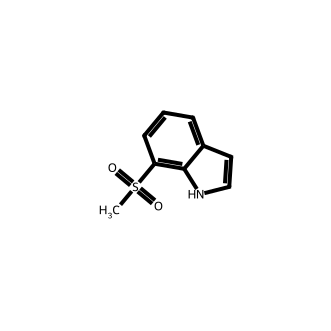 CS(=O)(=O)c1cccc2cc[nH]c12